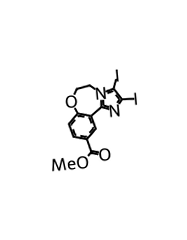 COC(=O)c1ccc2c(c1)-c1nc(I)c(I)n1CCO2